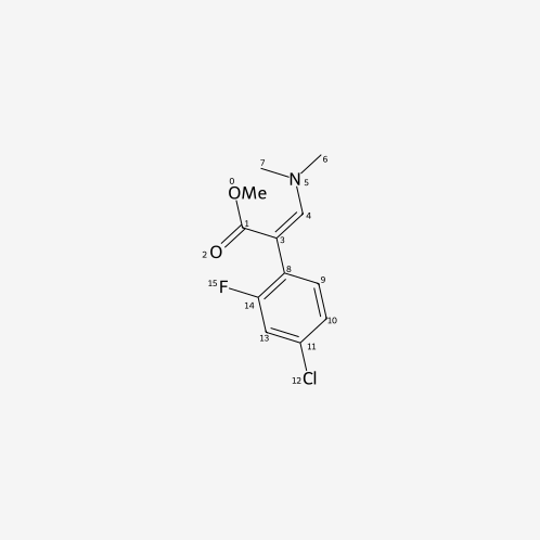 COC(=O)C(=CN(C)C)c1ccc(Cl)cc1F